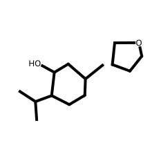 C1CCOC1.CC1CCC(C(C)C)C(O)C1